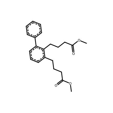 COC(=O)CCCc1cccc(-c2ccccc2)c1CCCC(=O)OC